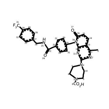 Cc1nc(N2CCN(C(=O)O)CC2)nc2c1ccc(=O)n2-c1ccc(C(=O)NCc2ccc(C(F)(F)F)cc2)cc1